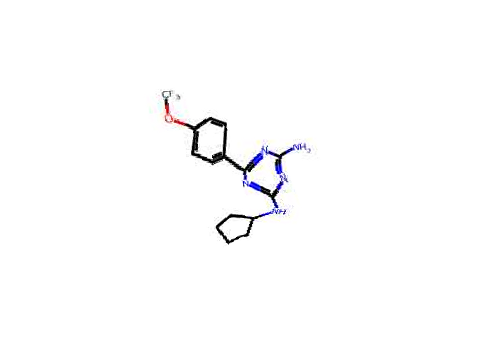 Nc1nc(NC2CCCC2)nc(-c2ccc(OC(F)(F)F)cc2)n1